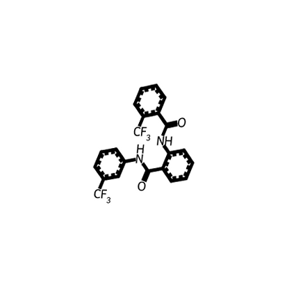 O=C(Nc1cccc(C(F)(F)F)c1)c1ccccc1NC(=O)c1ccccc1C(F)(F)F